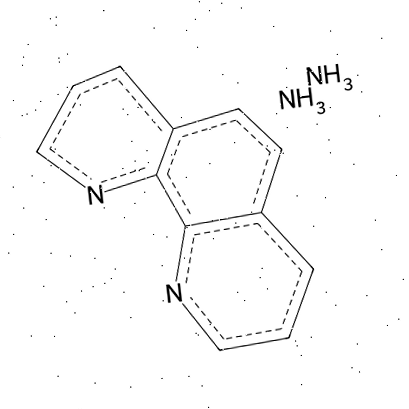 N.N.c1cnc2c(c1)ccc1cccnc12